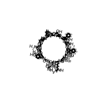 CCCC[C@H]1C(=O)N(C)[C@@H](CCCC)C(=O)N[C@@H](CCCNC(=N)N)C(=O)N[C@H](C(=O)NCC(N)=O)CSCC(=O)N[C@@H](Cc2ccc(O)cc2)C(=O)N(C)[C@@H](C)C(=O)N[C@@H](CC(N)=O)C(=O)N2CCC[C@H]2C(=O)N[C@@H](Cc2cnc[nH]2)C(=O)N[C@@H](CC(C)C)C(=O)N2C[C@H](O)C[C@H]2C(=O)N[C@@H](Cc2c[nH]c3ccccc23)C(=O)N[C@@H](CN)C(=O)N[C@@H](Cc2c[nH]c3ccccc23)C(=O)N1C